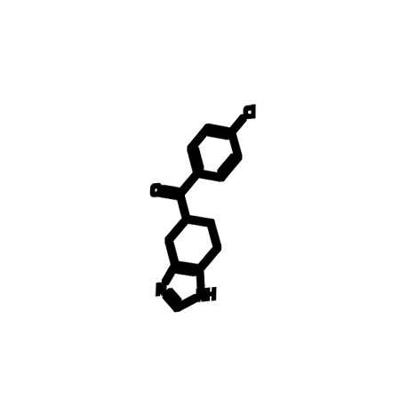 O=C(c1ccc(Cl)cc1)C1CCc2[nH]cnc2C1